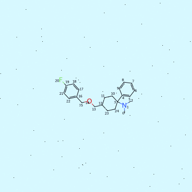 CN(C)C1(c2ccccc2)CCC(COCc2ccc(F)cc2)CC1